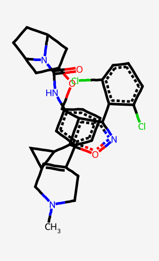 CN1CC=C(c2cccc(NC(=O)N3C4CCC3CC(OCc3c(-c5c(Cl)cccc5Cl)noc3C3CC3)C4)c2)CC1